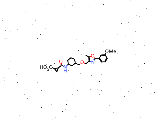 COc1cccc(-c2nc(COCC3CCCC(NC(=O)C4CC4C(=O)O)C3)c(C)o2)c1